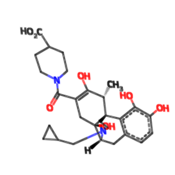 C[C@H]1C(O)=C(C(=O)N2CCC(C(=O)O)CC2)C[C@@]2(O)[C@H]3Cc4ccc(O)c(O)c4[C@@]12CCN3CC1CC1